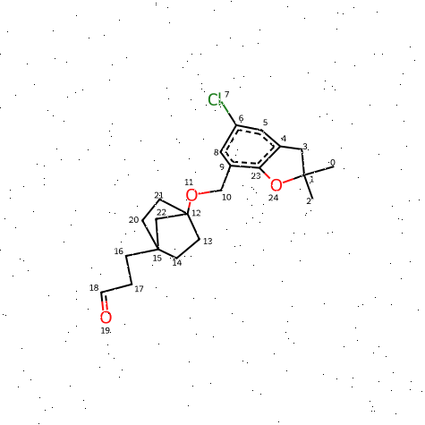 CC1(C)Cc2cc(Cl)cc(COC34CCC(CCC=O)(CC3)C4)c2O1